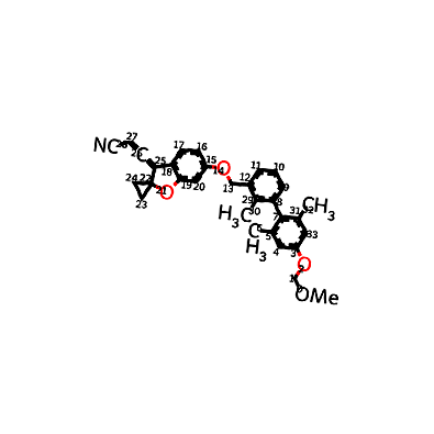 COCOc1cc(C)c(-c2cccc(COc3ccc4c(c3)OC3(CC3)C4=C=CC#N)c2C)c(C)c1